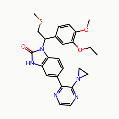 CCOc1cc(C(CSC)n2c(=O)[nH]c3cc(-c4nccnc4N4CC4)ccc32)ccc1OC